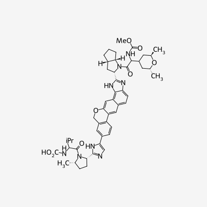 COC(=O)NC(C(=O)N1[C@H](c2nc3ccc4cc5c(cc4c3[nH]2)OCc2cc(-c3cnc([C@@H]4CC[C@H](C)N4C(=O)C(NC(=O)O)C(C)C)[nH]3)ccc2-5)C[C@@H]2CCC[C@@H]21)C1C[C@@H](C)O[C@H](C)C1